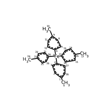 Cc1cc[c]([Fe]([c]2ccc(C)cc2)([c]2ccc(C)cc2)[c]2ccc(C)cc2)cc1